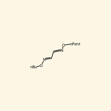 CCCCCO/N=[C]/C=NOCCCC